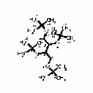 CC(C)(C)OCC(OC(C)(C)C)C(COC(C)(C)C)OC(C)(C)C